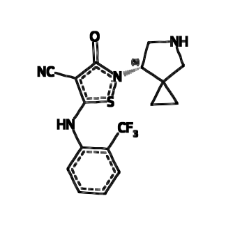 N#Cc1c(Nc2ccccc2C(F)(F)F)sn([C@@H]2CNCC23CC3)c1=O